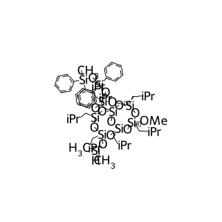 CO[Si@]1(CC(C)C)O[Si]2(CC(C)C)O[Si](CC(C)C)(O[SiH](C)C)O[Si]3(CC(C)C)O[Si](CC(C)C)(O2)O[Si@](CC(C)C)(O[Si](CC(C)C)(O[Si](O[Si](C)(c2ccccc2)c2ccccc2)(c2ccccc2)c2ccccc2)O3)O1